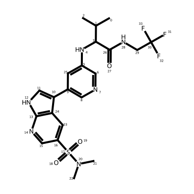 CC(C)C(Nc1cncc(-c2c[nH]c3ncc(S(=O)(=O)N(C)C)cc23)c1)C(=O)NCC(F)(F)F